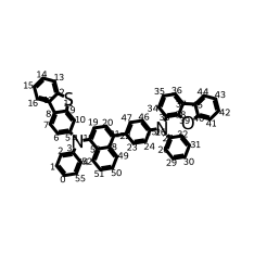 c1ccc(N(c2ccc3c(c2)sc2ccccc23)c2ccc(-c3ccc(N(c4ccccc4)c4cccc5c4oc4ccccc45)cc3)c3ccccc23)cc1